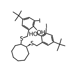 CC(C)(C)c1cc(I)c(O)c(CSC2CCCCCC[C@@H]2SCc2cc(C(C)(C)C)cc(I)c2O)c1